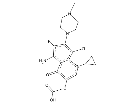 CN1CCN(c2c(F)c(N)c3c(=O)c(OC(=O)O)cn(C4CC4)c3c2Cl)CC1